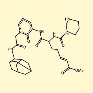 COC(=O)/C=C/CCC(NC(=O)[C@@H]1CCCNC1)C(=O)Nc1cccn(CC(=O)NC2C3CC4CC(C3)CC2C4)c1=O